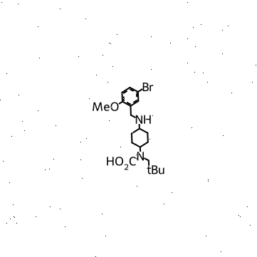 COc1ccc(Br)cc1CNC1CCC(N(CC(C)(C)C)C(=O)O)CC1